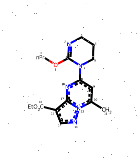 CCCOC1=NCCCN1c1cc(C)n2ncc(C(=O)OCC)c2n1